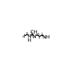 C/C(=N\CCC=N)NCI